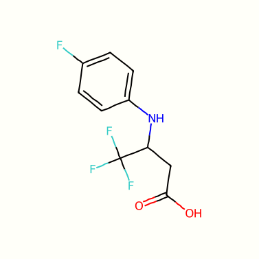 O=C(O)CC(Nc1ccc(F)cc1)C(F)(F)F